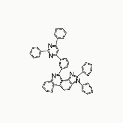 c1ccc(-c2cc(-c3cccc(-c4nc5ccccc5c5ccc6c(nc(-c7ccccc7)n6-c6ccccc6)c45)c3)nc(-c3ccccc3)n2)cc1